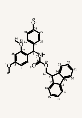 COc1ccc([C@H](NC(=O)OCC2c3ccccc3-c3ccccc32)c2ccc([O])cc2)c(OC)c1